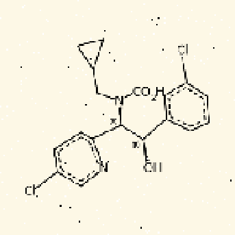 O=C(O)N(CC1CC1)[C@H](c1ccc(Cl)cn1)[C@H](O)c1cccc(Cl)c1